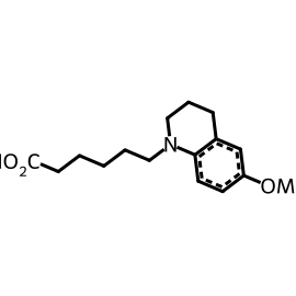 COc1ccc2c(c1)CCCN2CCCCCC(=O)O